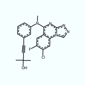 CN(c1cccc(C#CC(C)(C)O)c1)c1nc2nncn2c2cc(Cl)c(F)cc12